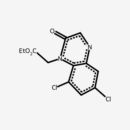 CCOC(=O)Cn1c(=O)cnc2cc(Cl)cc(Cl)c21